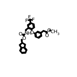 COC(=O)Cc1cccc(Oc2ccc(C(F)(F)F)cc2CNC(=O)OCC2Cc3ccccc3C2)c1